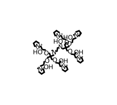 CN(CCN(C)CC(COCC(O)C[N+]1(C)CCCC1)(COCC(O)C[N+]1(C)CCCC1)COCC(O)C[N+]1(C)CCCC1)CC(COCC(O)C[N+]1(C)CCCC1)(COCC(O)C[N+]1(C)CCCC1)COCC(O)C[N+]1(C)CCCC1